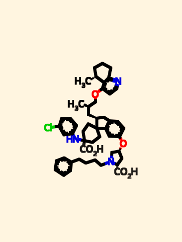 C[C@@H](COc1ccnc2c1[C@H](C)CCC2)C[C@H]1Cc2ccc(O[C@@H]3C[C@H](C(=O)O)N(CCCCc4ccccc4)C3)cc2C12CCC(Nc1cccc(Cl)c1)(C(=O)O)CC2